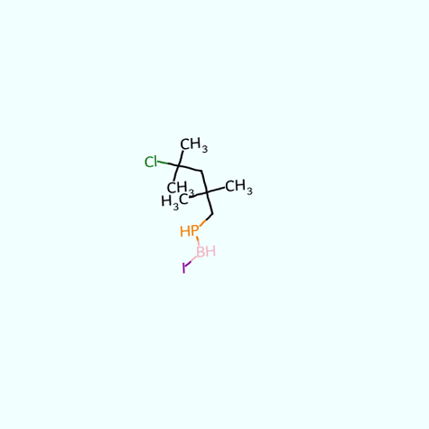 CC(C)(Cl)CC(C)(C)CPBI